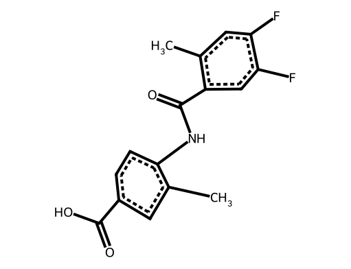 Cc1cc(C(=O)O)ccc1NC(=O)c1cc(F)c(F)cc1C